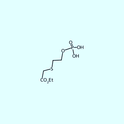 CCOC(=O)CSCCOP(=O)(O)O